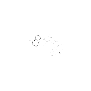 C[C@]1(CCOP(=O)(O)OP(=O)(O)OP(=O)(O)O)O[C@@H](c2ccc3c(N)ncnn23)[C@H](F)[C@@H]1O